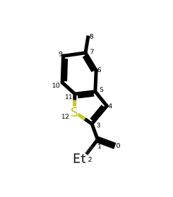 C=C(CC)c1cc2cc(C)ccc2s1